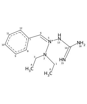 CCN(CC)[N+](=Cc1ccccc1)NC(=N)N